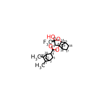 CC1C2CC(C(=O)OC34CC(O)(C(F)(F)F)OC3C3CCC4C3)C(C2)C1C